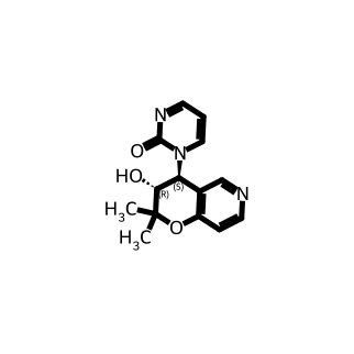 CC1(C)Oc2ccncc2[C@H](n2cccnc2=O)[C@H]1O